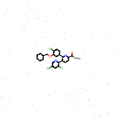 COC(=O)c1ccc(-c2ncc(Cl)cc2Cl)c(-c2ccc(Cl)c(OCc3ccccc3)c2)n1